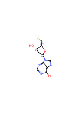 Oc1ncnc2c1ncn2[C@H]1C[C@H](O)/C(=C\F)O1